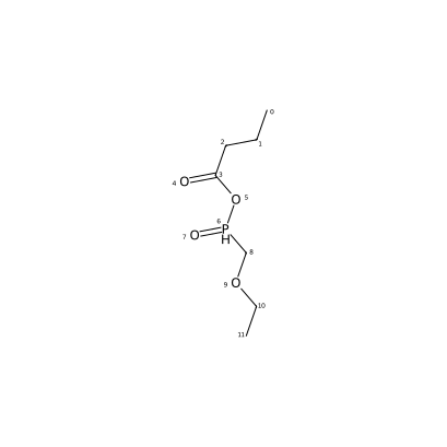 CCCC(=O)O[PH](=O)COCC